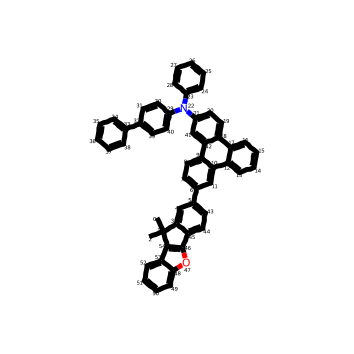 CC1(C)c2cc(-c3ccc4c(c3)c3ccccc3c3ccc(N(c5ccccc5)c5ccc(-c6ccccc6)cc5)cc34)ccc2-c2oc3ccccc3c21